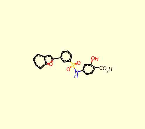 O=C(O)c1ccc(NS(=O)(=O)c2cccc(-c3cc4ccccc4o3)c2)cc1O